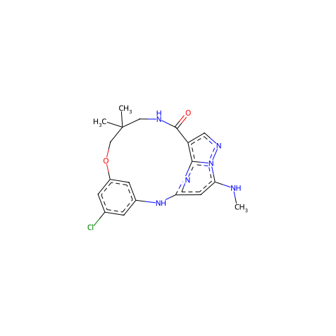 CNc1cc2nc3c(cnn13)C(=O)NCC(C)(C)COc1cc(Cl)cc(c1)N2